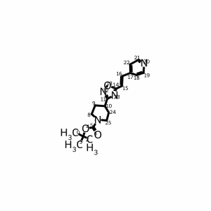 CC(C)(C)OC(=O)N1CCC(c2noc(/C=C/c3ccncc3)n2)CC1